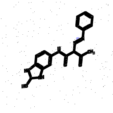 CC(=O)C(/N=N/c1ccccc1)C(=O)Nc1ccc2c(c1)NC(O)N2